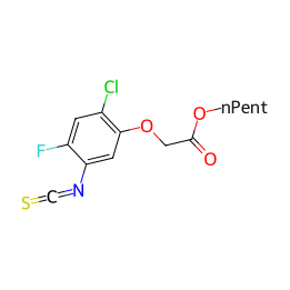 CCCCCOC(=O)COc1cc(N=C=S)c(F)cc1Cl